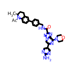 CC(=O)N1c2ccc(-c3ccc(CNC(=O)c4nc5c(N6CCOCC6)nc(-c6cnc(N)nc6)cn5n4)cc3)cc2CC[C@@H]1C